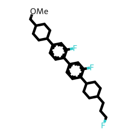 COCC1CCC(c2ccc(-c3ccc(C4CCC(CCCF)CC4)c(F)c3)c(F)c2)CC1